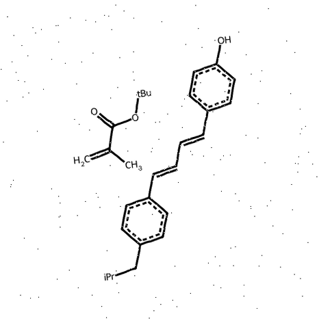 C=C(C)C(=O)OC(C)(C)C.CC(C)Cc1ccc(C=CC=Cc2ccc(O)cc2)cc1